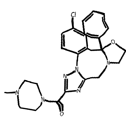 CN1CCN(C(=O)c2nc3n(n2)-c2ccc(Cl)cc2C2(c4ccccc4)OCCN2C3)CC1